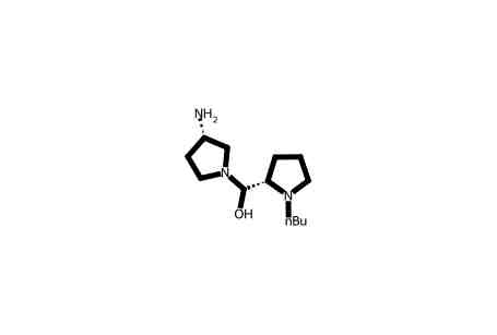 CCCCN1CCC[C@H]1C(O)N1CC[C@H](N)C1